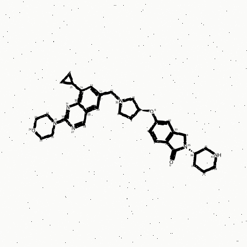 O=C1c2ccc(O[C@H]3CCN(Cc4cc(C5CC5)c5nc(N6CCOCC6)ncc5c4)C3)cc2CN1[C@H]1CCCNC1